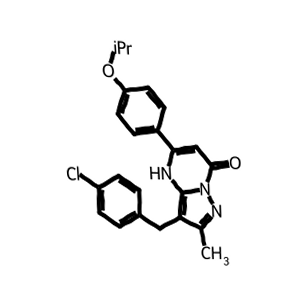 Cc1nn2c(=O)cc(-c3ccc(OC(C)C)cc3)[nH]c2c1Cc1ccc(Cl)cc1